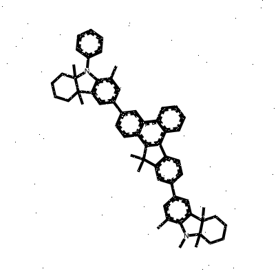 Cc1cc(-c2ccc3c(c2)C(C)(C)c2c-3c3ccccc3c3cc(-c4cc(C)c5c(c4)C4(C)CCCCC4(C)N5c4ccccc4)ccc23)cc2c1N(C)C1(C)CCCCC21C